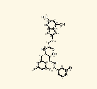 CCc1cccc(CNC[C@@H](O)[C@H](Cc2cc(F)cc(F)c2)NC(=O)CSc2nc3nc(C)cc(O)n3n2)c1